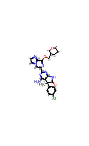 CC1(c2ccc(Cl)cc2)C(=O)Nc2nc(-c3cn4ccnc4c(OCC4CCCOC4)n3)nc(N)c21